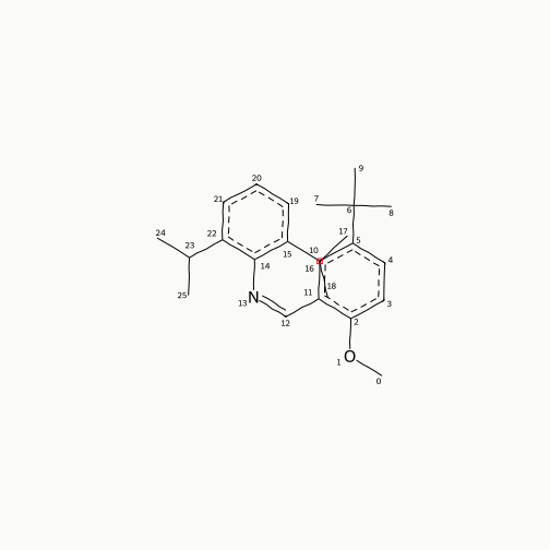 COc1ccc(C(C)(C)C)cc1/C=N\c1c(C(C)C)cccc1C(C)C